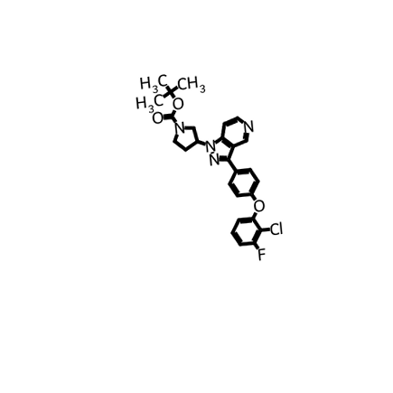 CC(C)(C)OC(=O)N1CCC(n2nc(-c3ccc(Oc4cccc(F)c4Cl)cc3)c3cnccc32)C1